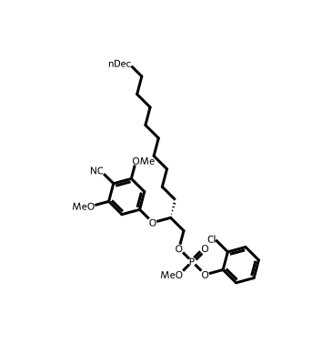 CCCCCCCCCCCCCCCCCCC[C@H](COP(=O)(OC)Oc1ccccc1Cl)Oc1cc(OC)c(C#N)c(OC)c1